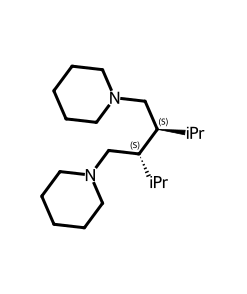 CC(C)[C@H](CN1CCCCC1)[C@@H](CN1CCCCC1)C(C)C